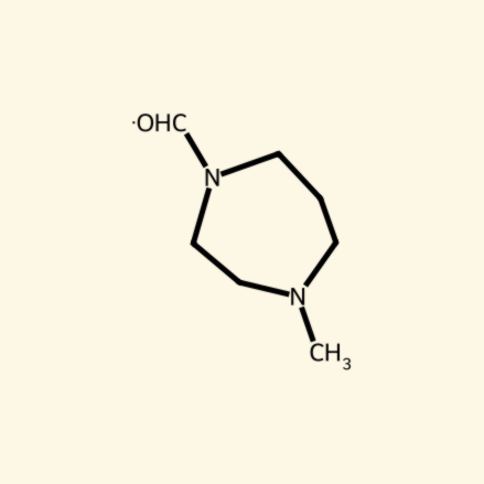 CN1CCCN([C]=O)CC1